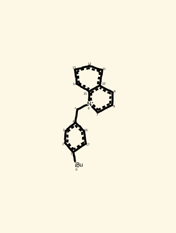 CCC(C)c1ccc(C[n+]2cccc3ccccc32)cc1